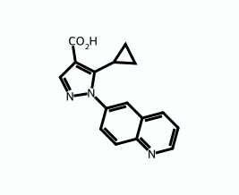 O=C(O)c1cnn(-c2ccc3ncccc3c2)c1C1CC1